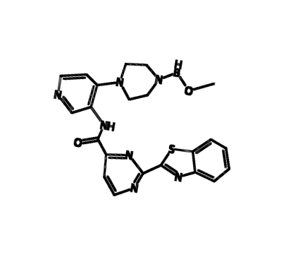 COBN1CCN(c2ccncc2NC(=O)c2ccnc(-c3nc4ccccc4s3)n2)CC1